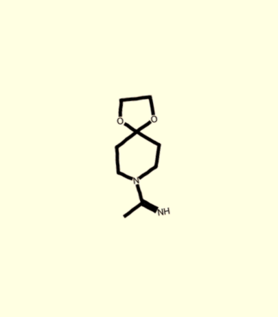 CC(=N)N1CCC2(CC1)OCCO2